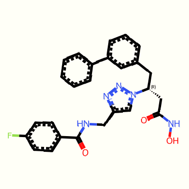 O=C(C[C@@H](Cc1cccc(-c2ccccc2)c1)n1cc(CNC(=O)c2ccc(F)cc2)nn1)NO